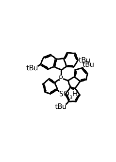 CC(C)(C)c1ccc2c(c1)C(P(c1ccccc1S(=O)(=O)O)C1c3cc(C(C)(C)C)ccc3-c3ccc(C(C)(C)C)cc31)c1cc(C(C)(C)C)ccc1-2